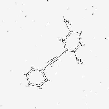 Cc1cnc(N)c(C#Cc2ccccc2)n1